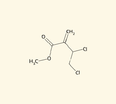 C=C(C(=O)OC)C(Cl)CCl